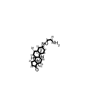 C[C@H](N)CON=C1CC[C@@]2(C)C(C1)[C@@H](C)C[C@@H]1[C@@H]2CC[C@]2(C)C(=O)CC[C@@H]12